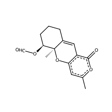 Cc1cc2c(c(=O)o1)C=C1CCC[C@H](OC=O)[C@]1(C)O2